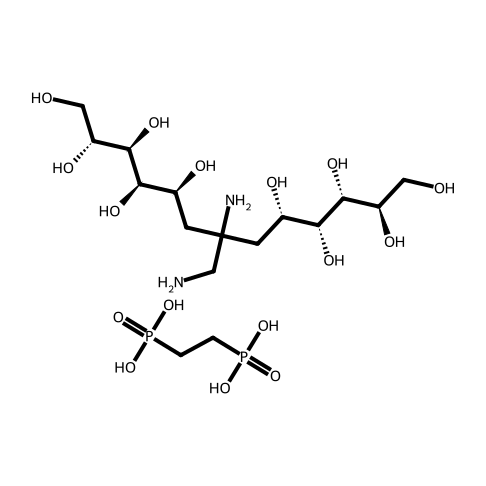 NCC(N)(C[C@H](O)[C@@H](O)[C@H](O)[C@H](O)CO)C[C@H](O)[C@@H](O)[C@H](O)[C@H](O)CO.O=P(O)(O)CCP(=O)(O)O